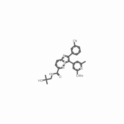 COc1cc(-c2c(-c3cccc(C#N)c3)nc3ccc(C(=O)NCC(C)(C)O)nn23)cc(C)n1